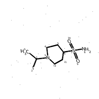 CC(I)N1CCC(S(N)(=O)=O)CC1